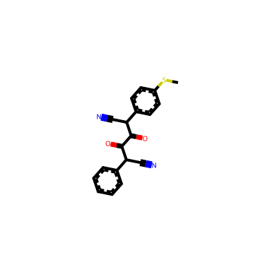 CSc1ccc(C(C#N)C(=O)C(=O)C(C#N)c2ccccc2)cc1